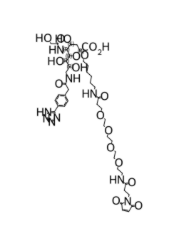 O=C(CCOCCOCCOCCOCCNC(=O)CCN1C(=O)C=CC1=O)NCCCCCCO[C@]1(C(=O)O)C[C@H](O)[C@@H](NC(=O)CO)[C@H]([C@H](O)[C@H](O)CNC(=O)Cc2ccc(-c3nnn[nH]3)cc2)O1